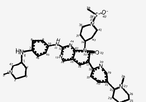 CN1CCCC(Nc2ccc(Nc3ncc4cc(-c5ccc(C6CCCCN6C)cn5)c(=O)n(C5CCN([S+](C)[O-])CC5)c4n3)cc2)C1